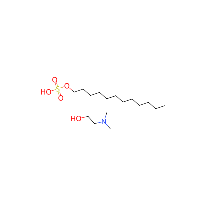 CCCCCCCCCCCCOS(=O)(=O)O.CN(C)CCO